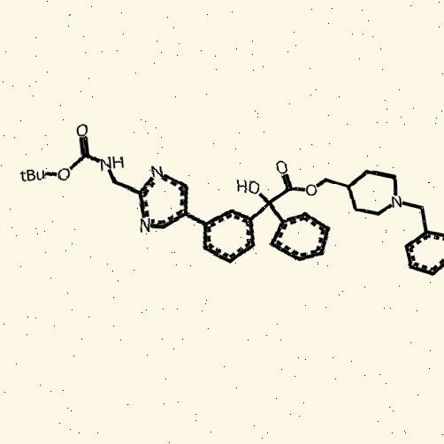 CC(C)(C)OC(=O)NCc1ncc(-c2cccc(C(O)(C(=O)OCC3CCN(Cc4ccccc4)CC3)c3ccccc3)c2)cn1